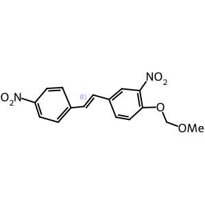 COCOc1ccc(/C=C/c2ccc([N+](=O)[O-])cc2)cc1[N+](=O)[O-]